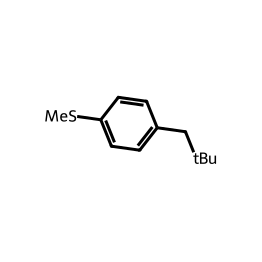 CSc1ccc(CC(C)(C)C)cc1